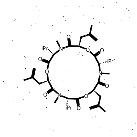 C=C(C)C[C@H]1OC(=O)[C@H](C(C)C)N(C)C(=O)[C@@H](CC(=C)C)OC(=O)[C@H](C(C)C)N(C)C(=O)[C@@H](CC(=C)C)OC(=O)[C@H](C(C)C)N(C)C1=O